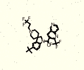 CC(C)(C)c1ccc2c(c1)C1(CCN(CCC(F)(F)F)CC1)CN2C(=O)c1cc2cnccc2nc1C(F)(F)F